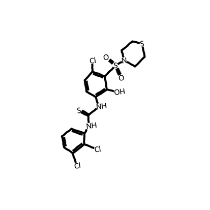 O=S(=O)(c1c(Cl)ccc(NC(=S)Nc2cccc(Cl)c2Cl)c1O)N1CCSCC1